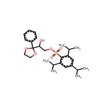 CC(C)c1cc(C(C)C)c(S(=O)(=O)OCC(O)C2(c3ccccc3)OCCO2)c(C(C)C)c1